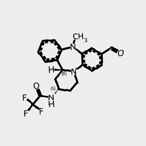 CN1c2ccccc2[C@H]2C[C@@H](NC(=O)C(F)(F)F)CCN2c2ccc(C=O)cc21